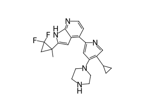 CC1(c2cc3c(-c4cc(N5CCNCC5)c(C5CC5)cn4)ccnc3[nH]2)CC1(F)F